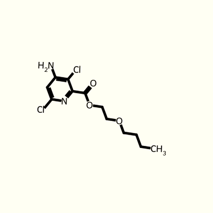 CCCCOCCOC(=O)c1nc(Cl)cc(N)c1Cl